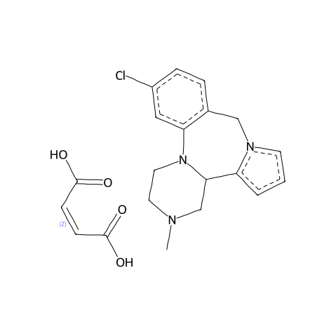 CN1CCN2c3cc(Cl)ccc3Cn3cccc3C2C1.O=C(O)/C=C\C(=O)O